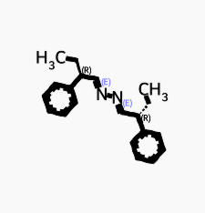 CC[C@@H](/C=N/N=C/[C@H](CC)c1ccccc1)c1ccccc1